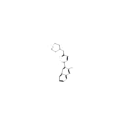 N=C(/C=C\C(N)c1cc2ccccc2cc1O)CC1CCNCC1